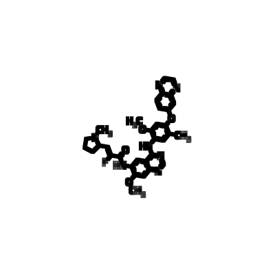 COc1cc2ncnc(Nc3cc(C)c(Oc4ccc5nccnc5c4)cc3OC)c2cc1NC(=O)/C(F)=C/C1CCCN1C